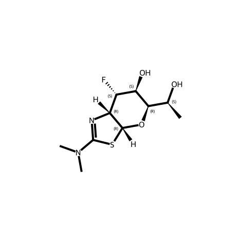 C[C@H](O)[C@H]1O[C@@H]2SC(N(C)C)=N[C@@H]2[C@H](F)[C@H]1O